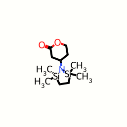 C[Si]1(C)CC[Si](C)(C)N1C1CCOC(=O)C1